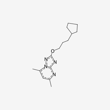 Cc1cc(C)n2nc(OCCCC3CCCC3)nc2n1